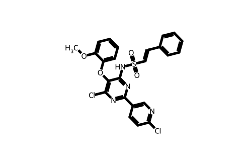 COc1ccccc1Oc1c(Cl)nc(-c2ccc(Cl)nc2)nc1NS(=O)(=O)/C=C/c1ccccc1